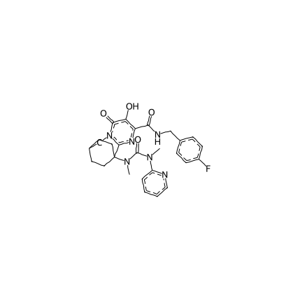 CN(C(=O)N(C)C12CCC(CC1)Cn1c2nc(C(=O)NCc2ccc(F)cc2)c(O)c1=O)c1ccccn1